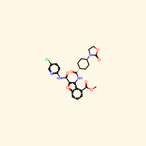 COC(=O)c1cccc2oc(C(=O)Nc3ccc(Cl)cn3)c(NC(=O)[C@H]3CC[C@H](N4CCOC4=O)CC3)c12